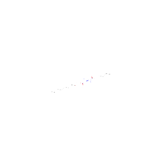 CCCCCCCCOC(=O)/N=N/C(=O)OCCCCC